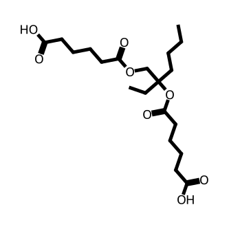 CCCCC(CC)(COC(=O)CCCCC(=O)O)OC(=O)CCCCC(=O)O